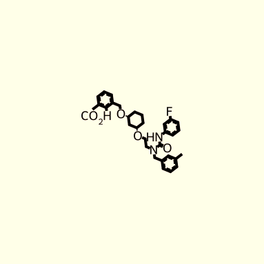 Cc1cccc(CN(CCO[C@H]2CCC[C@@H](OCc3cccc(C)c3C(=O)O)C2)C(=O)Nc2cccc(F)c2)c1